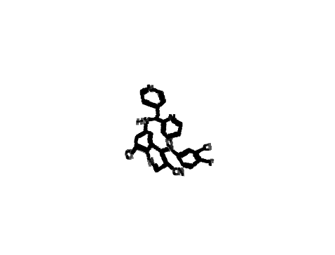 N#Cc1cnc2c(Cl)cc(NC(c3ccncc3)c3ccccn3)cc2c1Nc1ccc(F)c(Cl)c1